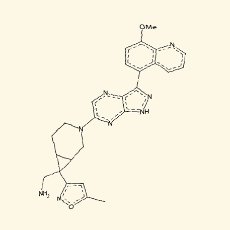 COc1ccc(-c2n[nH]c3nc(N4CCC5C(C4)C5(CN)c4cc(C)on4)cnc23)c2cccnc12